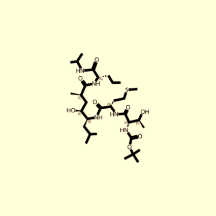 CCC[C@H](NC(=O)[C@H](C)C[C@H](O)[C@H](CC(C)C)NC(=O)[C@H](CCSC)NC(=O)[C@@H](NC(=O)OC(C)(C)C)[C@H](C)O)C(=O)NC(C)C